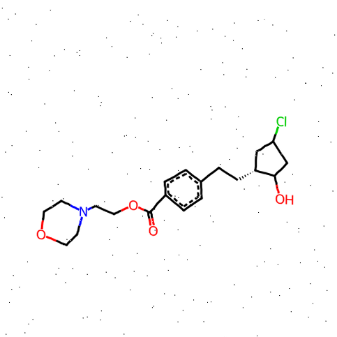 O=C(OCCN1CCOCC1)c1ccc(CC[C@@H]2CC(Cl)CC2O)cc1